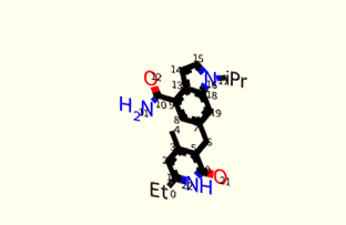 CCc1cc(C)c(Cc2cc(C(N)=O)c3ccn(C(C)C)c3c2)c(=O)[nH]1